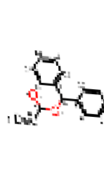 CCCCCCCCCCC([O])OC(c1ccccc1)c1ccccc1